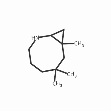 CC1(C)CCCNC2CC2(C)C1